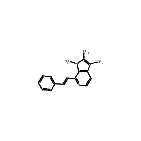 Cc1c(C)n(C)c2c(/C=C/c3ccccc3)nccc12